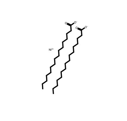 CCCCCCCCCCCCCCCC(=O)[O-].CCCCCCCCCCCCCCCC(=O)[O-].[Ni+2]